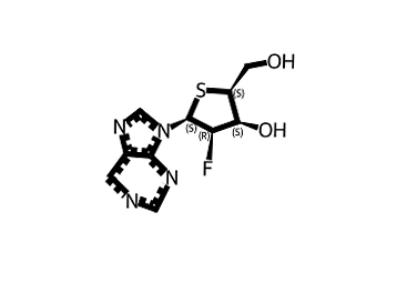 OC[C@@H]1S[C@H](n2cnc3cncnc32)[C@H](F)[C@@H]1O